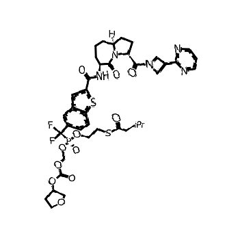 CC(C)CC(=O)SCCOP(=O)(OCOC(=O)O[C@@H]1CCOC1)C(F)(F)c1ccc2sc(C(=O)N[C@H]3CCC[C@H]4CC[C@@H](C(=O)N5CC(c6ncccn6)C5)N4C3=O)cc2c1